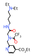 CCOC(=O)c1ccnc(CN(CC(=O)NCCCCN(CC)CC)C(=O)C(F)(F)F)c1